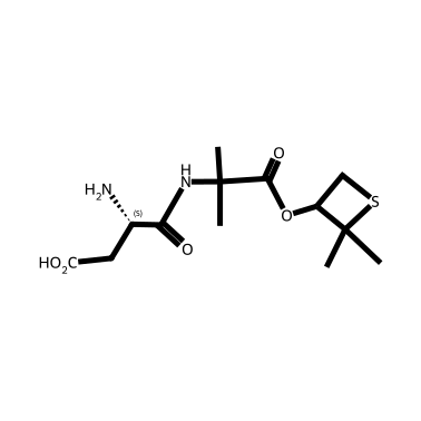 CC(C)(NC(=O)[C@@H](N)CC(=O)O)C(=O)OC1CSC1(C)C